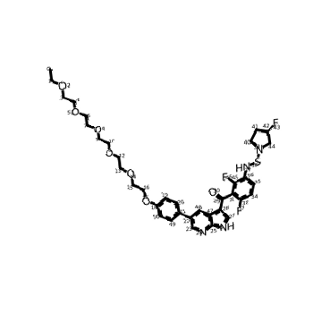 CCOCCOCCOCCOCCOCCOc1ccc(-c2cnc3[nH]cc(C(=O)c4c(F)ccc(NSN5CC[C@@H](F)C5)c4F)c3c2)cc1